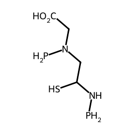 O=C(O)CN(P)CC(S)NP